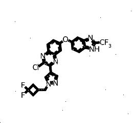 FC1(F)CC(Cn2cc(-c3nc4cc(Oc5ccc6[nH]c(C(F)(F)F)nc6c5)ccc4nc3Cl)cn2)C1